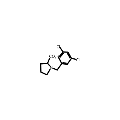 O=C(O)C1CCCN1Cc1cc(Cl)cc(Cl)c1